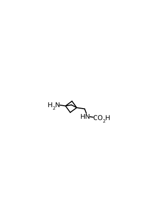 NC12CC(CNC(=O)O)(C1)C2